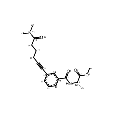 COC(=O)[C@H](C)NC(=O)c1cccc(C#CCCCC(=O)N(C)C)c1